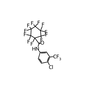 O=C(Nc1ccc(Cl)c(C(F)(F)F)c1)C1(F)C(F)(F)C(F)(F)C(F)(F)C(F)(F)C1(F)F